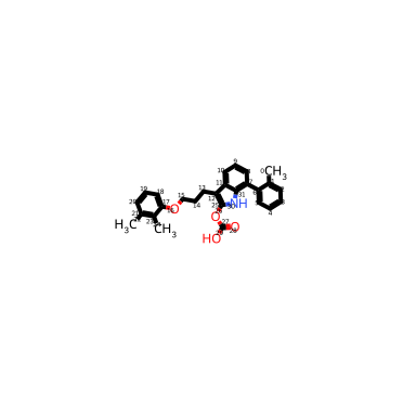 Cc1ccccc1-c1cccc2c(CCCOc3cccc(C)c3C)c(OC(=O)O)[nH]c12